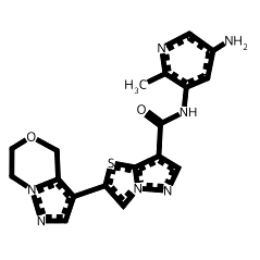 Cc1ncc(N)cc1NC(=O)c1cnn2cc(-c3cnn4c3COCC4)sc12